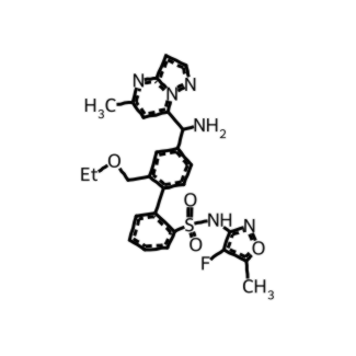 CCOCc1cc(C(N)c2cc(C)nc3ccnn23)ccc1-c1ccccc1S(=O)(=O)Nc1noc(C)c1F